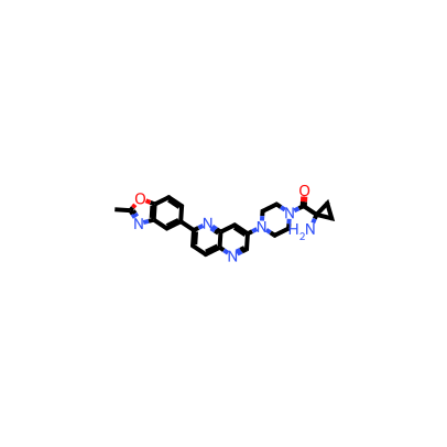 Cc1nc2cc(-c3ccc4ncc(N5CCN(C(=O)C6(N)CC6)CC5)cc4n3)ccc2o1